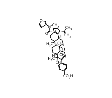 C=C(C)[C@@H]1CC[C@]2(C(=O)N(C)c3ccoc3)CC[C@]3(C)[C@H](CC[C@@H]4[C@@]5(C)CC=C(c6ccc(C(=O)O)cc6)C(C)(C)[C@@H]5CC[C@]43C)[C@@H]12